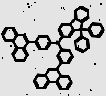 c1ccc(C2(c3ccccc3)c3ccccc3-c3ccc(N(c4ccc(-c5cc6ccccc6c6ccccc56)cc4)c4cccc(-c5cc6ccccc6c6ccccc56)c4)cc32)cc1